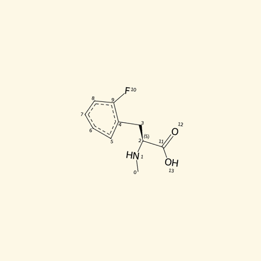 CN[C@@H](Cc1ccccc1F)C(=O)O